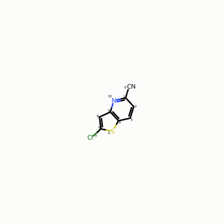 N#Cc1ccc2sc(Cl)cc2n1